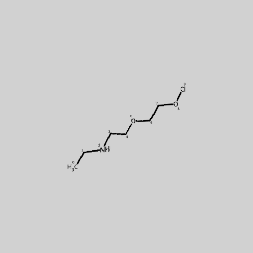 CCNCCOCCOCl